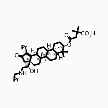 CC(C)CNC[C@@H](O)[C@@]12CC[C@]3(C)[C@H](CC[C@@H]4[C@@]5(C)CC[C@H](OC(=O)CC(C)(C)C(=O)O)C(C)(C)[C@@H]5CC[C@]43C)C1=C(C(C)C)C(=O)C2